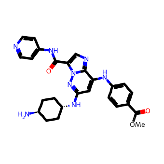 COC(=O)c1ccc(Nc2cc(N[C@H]3CC[C@H](N)CC3)nn3c(C(=O)Nc4ccncc4)cnc23)cc1